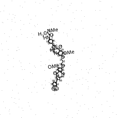 CN[C@@H](C)C(=O)Nc1ccc(C2=CN3C(=O)c4cc(OC)c(OCCCOc5cc6c(cc5OC)C(=O)N5C=C(c7ccc8c(c7)OCO8)CC5C=N6)cc4N=C[C@@H]3C2)cc1